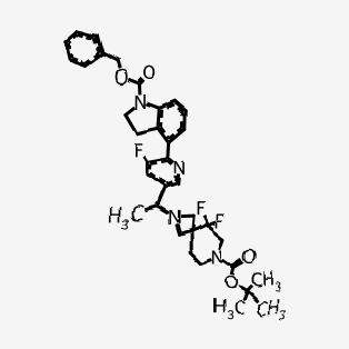 CC(c1cnc(-c2cccc3c2CCN3C(=O)OCc2ccccc2)c(F)c1)N1CC2(CCN(C(=O)OC(C)(C)C)CC2(F)F)C1